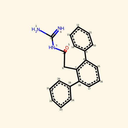 N=C(N)NC(=O)Cc1c(-c2ccccc2)cccc1-c1ccccc1